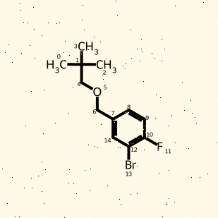 CC(C)(C)COCc1ccc(F)c(Br)c1